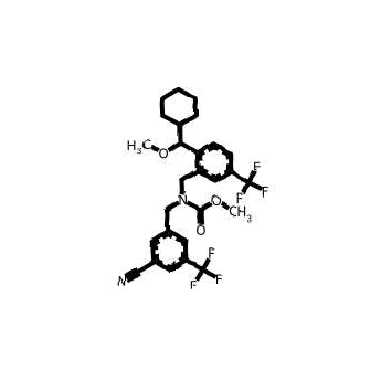 COC(=O)N(Cc1cc(C#N)cc(C(F)(F)F)c1)Cc1cc(C(F)(F)F)ccc1C(OC)C1CCCCC1